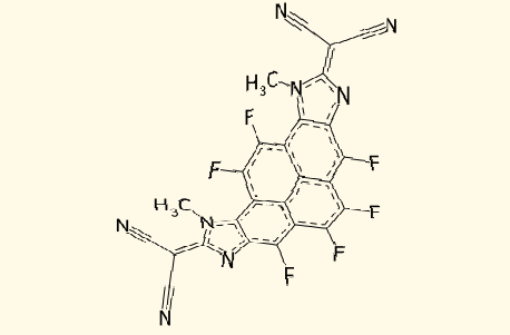 Cn1c(=C(C#N)C#N)nc2c(F)c3c(F)c(F)c4c(F)c5nc(=C(C#N)C#N)n(C)c5c5c(F)c(F)c(c3c45)c21